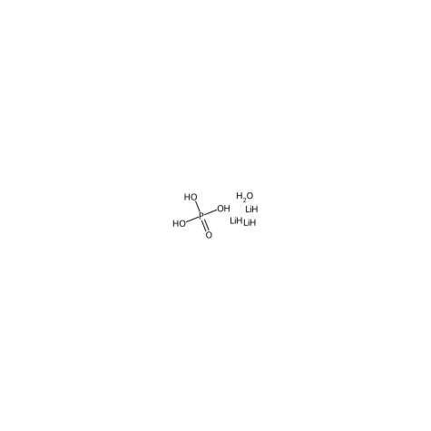 O.O=P(O)(O)O.[LiH].[LiH].[LiH]